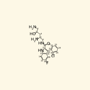 NCC(O)C[C@H](N)CNC(=O)c1[nH]c2ccc(F)cc2c1-c1ccccc1Cl